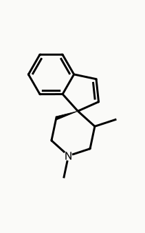 CC1CN(C)CC[C@@]12C=Cc1ccccc12